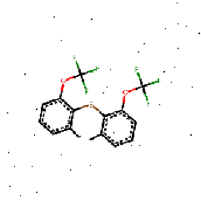 Cc1cccc(OC(F)(F)F)c1Sc1c(C)cccc1OC(F)(F)F